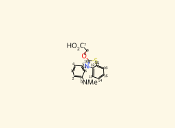 CNc1ccccc1.O=C(O)COc1nc2ccccc2s1